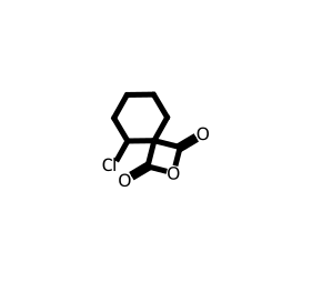 O=C1OC(=O)C12CCCCC2Cl